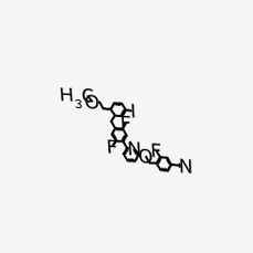 COCCC1C=CC(I)=CC1Cc1cc(F)c(-c2cccc(OCc3ccc(C#N)cc3F)n2)cc1F